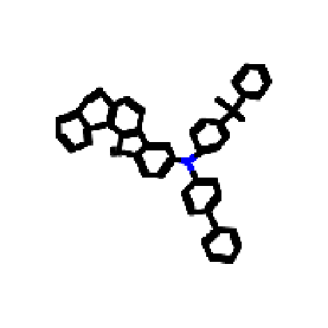 CC(C)(c1ccccc1)c1ccc(N(c2ccc(-c3ccccc3)cc2)c2ccc3[se]c4c(ccc5ccc6ccccc6c54)c3c2)cc1